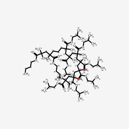 CCCCOC(=O)C(C)(C)CC(C)(CCCC(C)(CC(C)(CC(C)(CC(C)(CC(C)(CC(C)(CC(C)(CC)C(=O)OCC(C)C)C(=O)OCC(C)C)C(=O)OCC(C)C)C(=O)OCC(C)C)C(=O)OCC(C)C)C(=O)OCC(C)C)C(=O)OCC(C)C)C(=O)OCCCC